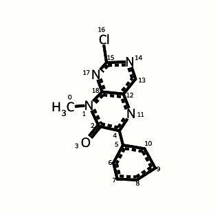 Cn1c(=O)c(-c2ccccc2)nc2cnc(Cl)nc21